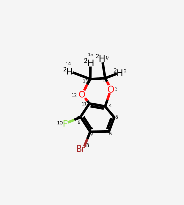 [2H]C1([2H])Oc2ccc(Br)c(F)c2OC1([2H])[2H]